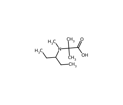 CCC(CC)N(C)C(C)(C)C(=O)O